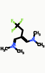 CN(C)/C=C(/C=[N+](C)C)CC(F)(F)F